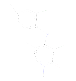 Cc1ccc(Nc2c(C(=O)O)cn(C)c(=O)c2F)c(F)c1